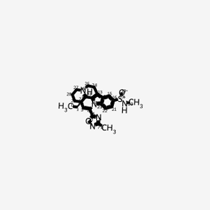 CC[C@@]12C=C(c3nc(C)no3)n3c4c(c5cc([S+]([O-])NC)ccc53)CCN(CCC1)[C@H]42